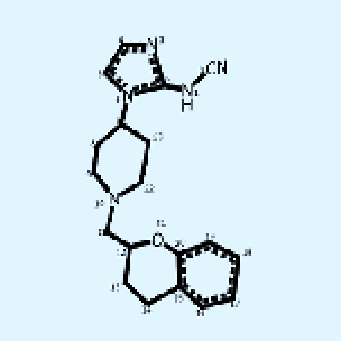 N#CNc1nccn1C1CCN(CC2CCc3ccccc3O2)CC1